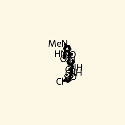 CNc1ccc2c(=O)n(-c3ccc(NC(=O)NS(=O)(=O)c4ccc(Cl)s4)cn3)c(=O)[nH]c2c1